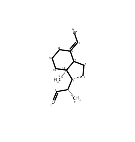 C[C@H](C=O)[C@H]1CCC2/C(=C/Br)CCC[C@@]21C